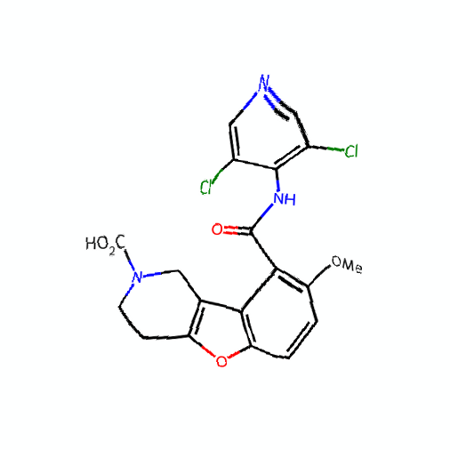 COc1ccc2oc3c(c2c1C(=O)Nc1c(Cl)cncc1Cl)CN(C(=O)O)CC3